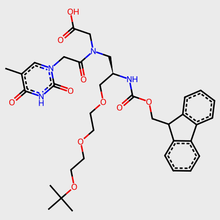 Cc1cn(CC(=O)N(CC(=O)O)C[C@H](COCCOCCOC(C)(C)C)NC(=O)OCC2c3ccccc3-c3ccccc32)c(=O)[nH]c1=O